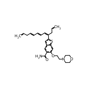 C=CC/C=C/C=C/C=C(/CC=C)c1cc2cc(C(N)=O)c(OCCN3CCOCC3)cc2s1